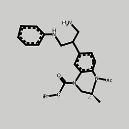 CC(=O)N1c2ccc(C(CN)CNc3ccccc3)cc2N(C(=O)OC(C)C)C[C@@H]1C